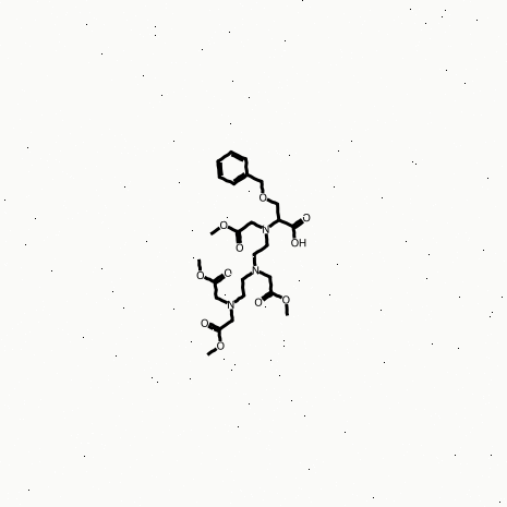 COC(=O)CN(CCN(CC(=O)OC)CC(=O)OC)CCN(CC(=O)OC)C(COCc1ccccc1)C(=O)O